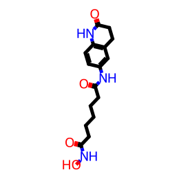 O=C(CCCCCC(=O)Nc1ccc2c(c1)CCC(=O)N2)NO